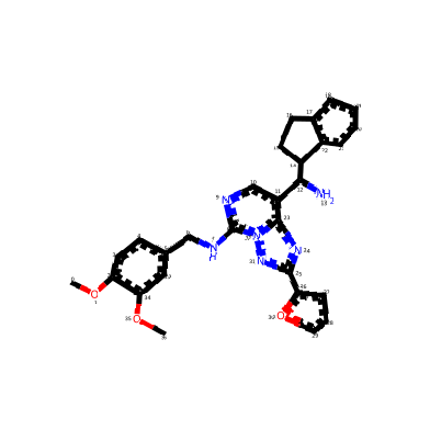 COc1ccc(CNc2ncc(C(N)C3CCc4ccccc43)c3nc(-c4ccco4)nn23)cc1OC